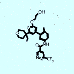 Cc1ccc(NC(=O)c2cnnc(C(F)(F)F)c2)cc1-c1cc(OCCO)nc(C2(CF)CCOCC2)c1